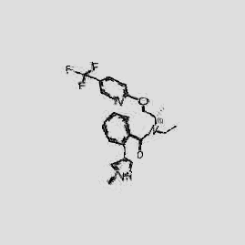 CCN(C(=O)c1ccccc1-c1cnn(C)c1)[C@@H](C)COc1ccc(C(F)(F)F)cn1